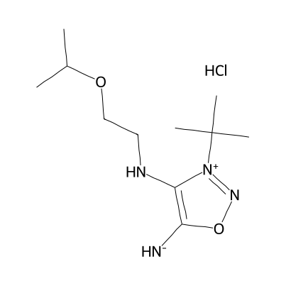 CC(C)OCCNc1c([NH-])on[n+]1C(C)(C)C.Cl